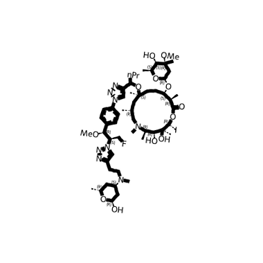 CCCC(O[C@@]1(C)CC[C@H](O[C@H]2C[C@@](C)(OC)[C@@H](O)[C@H](C)O2)[C@@H](C)C(=O)O[C@H](I)[C@@](C)(O)[C@H](O)[C@@H](C)N(C)C[C@H](C)C1)c1cn(-c2ccc([C@@H](OC)[C@@H](CF)n3cc(CCN(C)[C@H]4C[C@@H](C)O[C@@H](O)C4)nn3)cc2)nn1